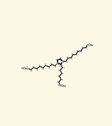 CCCCCCCCCCCCCCCCCCCn1cc[n+](CCCCCCCCCCCCCCCCCCC)c1CCCCCCCCCCCCCCCC